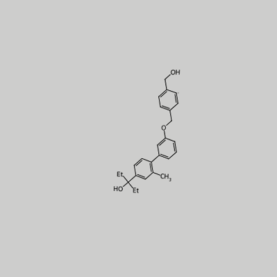 CCC(O)(CC)c1ccc(-c2cccc(OCc3c[c]c(CO)cc3)c2)c(C)c1